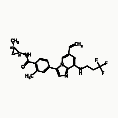 C=Cc1cc(NCCC(F)(F)F)c2ncc(-c3ccc(C(=O)N[C@H]4C[C@@H]4C)c(C)c3)n2c1